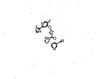 Cn1ccnc1-c1cc(OC2CN(C(=O)N3N=CC[C@H]3c3cncc(C#N)c3)C2)c(F)cn1